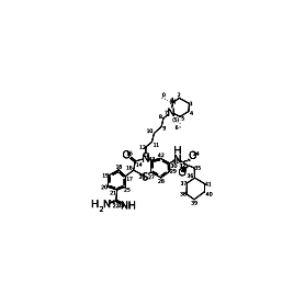 C[C@@H]1CCC[C@H](C)N1CCCCCN1C(=O)C(c2cccc(C(=N)N)c2)Sc2ccc(NS(=O)(=O)CC3CCCCC3)cc21